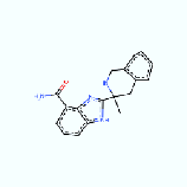 CC1(c2nc3c(C(N)=O)cccc3[nH]2)Cc2ccccc2CN1